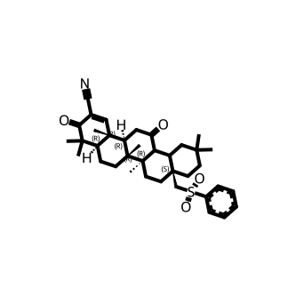 CC1(C)CC[C@]2(CS(=O)(=O)c3ccccc3)CC[C@]3(C)C(C(=O)C[C@@H]4[C@@]5(C)C=C(C#N)C(=O)C(C)(C)[C@@H]5CC[C@]43C)C2C1